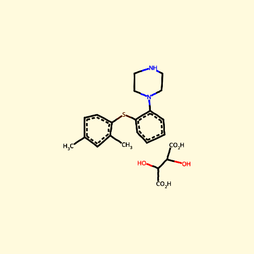 Cc1ccc(Sc2ccccc2N2CCNCC2)c(C)c1.O=C(O)C(O)C(O)C(=O)O